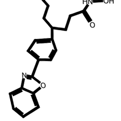 O=C(CCC(CCO)c1ccc(-c2nc3ccccc3o2)cc1)NO